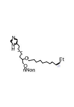 CC/C=C\CCCCCCCCOC(COCCCCCCCCC)CSSCc1cnc[nH]1